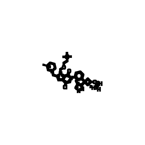 [2H]C([2H])([2H])OC1CC(c2cccc(-n3cc(Cl)c4cc(CN5CCC[C@H](C)C5)n(COCC[Si](C)(C)C)c4c3=O)c2)(c2nncn2C)C1